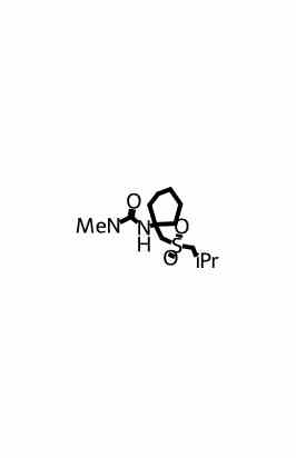 CNC(=O)NC1(CS(=O)(=O)CC(C)C)CCCCC1